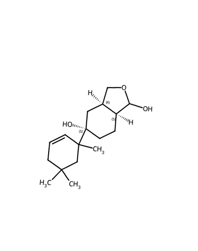 CC1(C)CC=CC(C)([C@]2(O)CC[C@@H]3C(O)OC[C@@H]3C2)C1